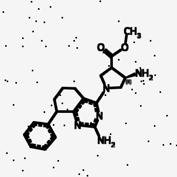 COC(=O)C1CN(c2nc(N)nc3c2CCCC3c2ccccc2)C[C@@H]1N